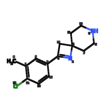 Cc1cc(C2=NC3(CCNCC3)C2)ccc1Cl